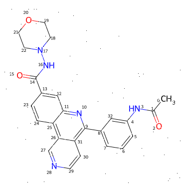 CC(=O)Nc1cccc(-c2nc3cc(C(=O)NN4CCOCC4)ccc3c3cnccc23)c1